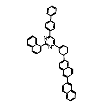 c1c(-c2ccc3ccccc3c2)cc2ccc(C3CCC=C(c4cc(-c5ccc(-c6ccccc6)cc5)nc(-c5cccc6ccccc56)n4)C3)cc2c#1